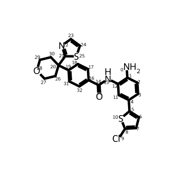 Nc1ccc(-c2ccc(Cl)s2)cc1NC(=O)c1ccc(C2(c3nccs3)CCOCC2)cc1